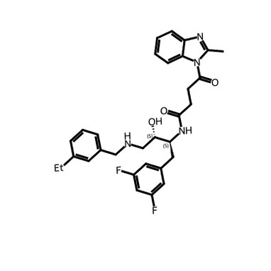 CCc1cccc(CNC[C@H](O)[C@H](Cc2cc(F)cc(F)c2)NC(=O)CCC(=O)n2c(C)nc3ccccc32)c1